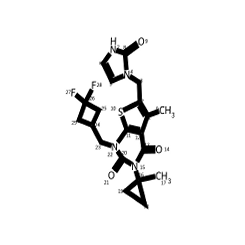 Cc1c(Cn2cc[nH]c2=O)sc2c1c(=O)n(C1(C)CC1)c(=O)n2CC1CC(F)(F)C1